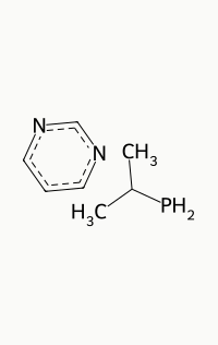 CC(C)P.c1cncnc1